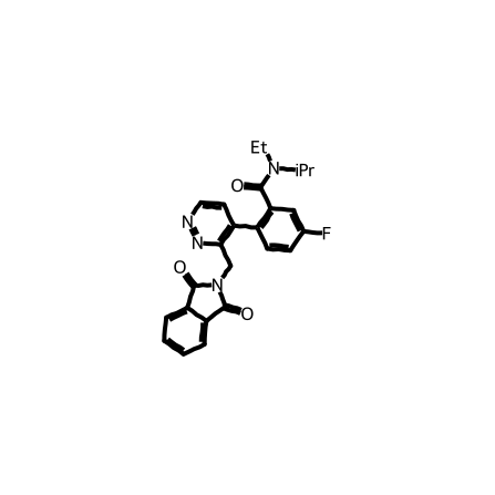 CCN(C(=O)c1cc(F)ccc1-c1ccnnc1CN1C(=O)c2ccccc2C1=O)C(C)C